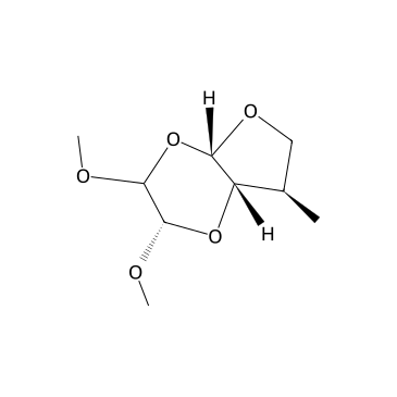 COC1O[C@@H]2OC[C@@H](C)[C@@H]2O[C@@H]1OC